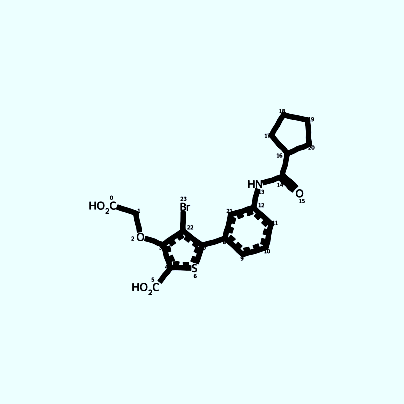 O=C(O)COc1c(C(=O)O)sc(-c2cccc(NC(=O)C3CCCC3)c2)c1Br